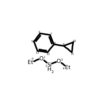 CCO[SiH2]OCC.c1ccc(C2CC2)cc1